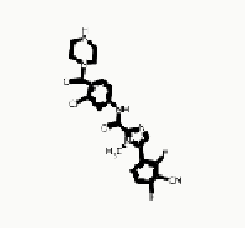 Cn1c(-c2ccc(F)c(C#N)c2F)cnc1C(=O)Nc1ccc(C(=O)N2CCNCC2)c(Cl)c1